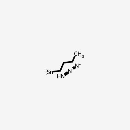 CCC[CH2][Sn].[N-]=[N+]=N